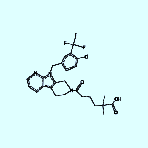 CC(C)(CCCC(=O)N1CCc2c(n(Cc3ccc(Cl)c(C(F)(F)F)c3)c3ncccc23)C1)C(=O)O